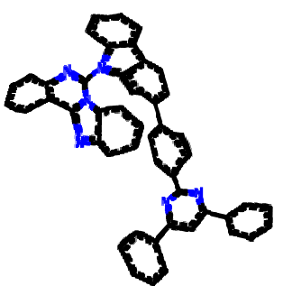 c1ccc(-c2cc(-c3ccccc3)nc(-c3ccc(-c4ccc5c6ccccc6n(-c6nc7ccccc7c7nc8ccccc8n67)c5c4)cc3)n2)cc1